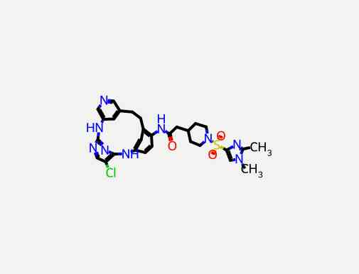 Cc1nc(S(=O)(=O)N2CCC(CC(=O)Nc3ccc4cc3CCc3cncc(c3)Nc3ncc(Cl)c(n3)N4)CC2)cn1C